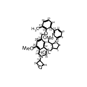 COCC1C(C(=O)O)CCN1c1cccc(-c2cccc(C)c2OCc2cc3c(c(OC)c2)CN(C2COC2)CC3)n1